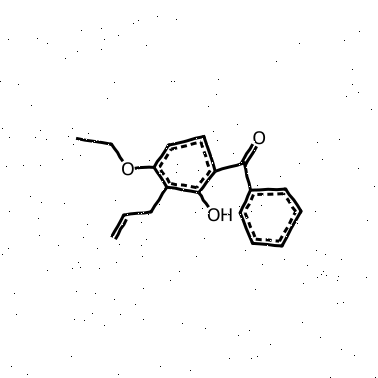 C=CCc1c(OCC)ccc(C(=O)c2ccccc2)c1O